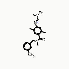 CCN(C)/C=N/c1cc(C)c(C(=O)N(C)Cc2cccc(C(F)(F)F)c2)cc1C